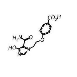 NC(=O)c1c(O)ncn1CCOc1ccc(C(=O)O)cc1